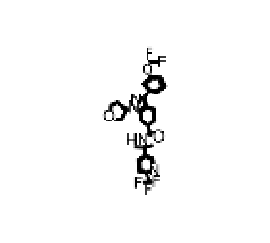 CC(C)(NC(=O)C1CCc2c(-c3cccc(OC(F)F)c3)nn(C3CCOCC3)c2C1)c1ccc(C(F)(F)F)nc1